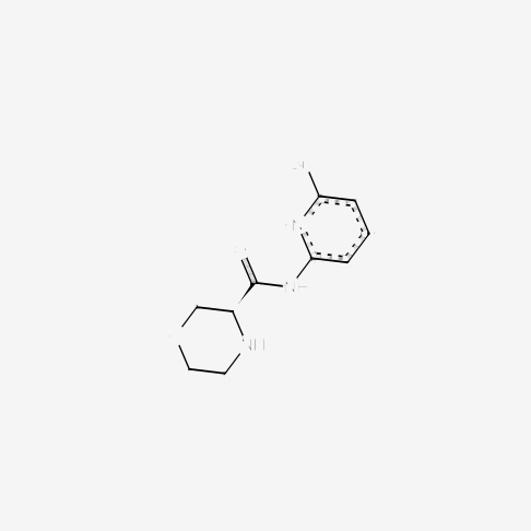 O=C(Nc1cccc(Br)n1)[C@@H]1COCCN1